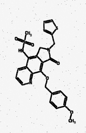 COc1ccc(COc2c3c(c(NS(C)(=O)=O)c4cccnc24)CN(Cc2cccs2)C3=O)cc1